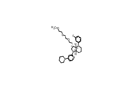 COCCOCCOCC[C@H]1CN(c2cc(N3CCCCC3)ccn2)[C@H]2CCCN(c3cccc(F)c3)[C@@H]12